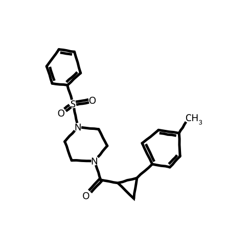 Cc1ccc(C2CC2C(=O)N2CCN(S(=O)(=O)c3ccccc3)CC2)cc1